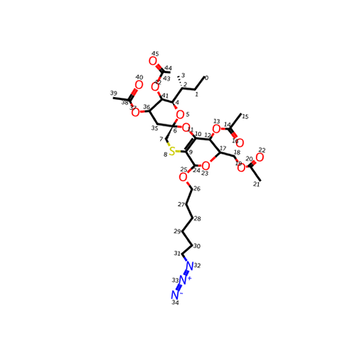 CC[C@@H](C)[C@H]1O[C@@]2(CSC3=C(O2)C(OC(C)=O)C(COC(C)=O)OC3OCCCCCCN=[N+]=[N-])CC(OC(C)=O)C1OC(C)=O